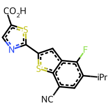 CC(C)c1cc(C#N)c2sc(-c3ncc(C(=O)O)s3)cc2c1F